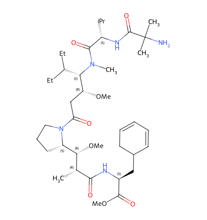 CCC(CC)[C@@H]([C@@H](CC(=O)N1CCC[C@H]1[C@H](OC)[C@@H](C)C(=O)N[C@@H](CC1C=CC=CC1)C(=O)OC)OC)N(C)C(=O)[C@@H](NC(=O)C(C)(C)N)C(C)C